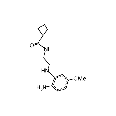 COc1ccc(N)c(NCCNC(=O)C2CCC2)c1